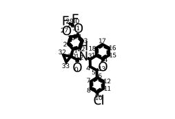 O=C(NC1CC(c2ccc(Cl)cc2)Oc2ccccc21)C1(c2ccc3c(c2)OC(F)(F)O3)CC1